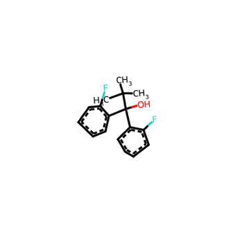 CC(C)(C)C(O)(c1ccccc1F)c1ccccc1F